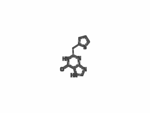 O=c1[nH]c(Cc2cccs2)nc2nc[nH]c12